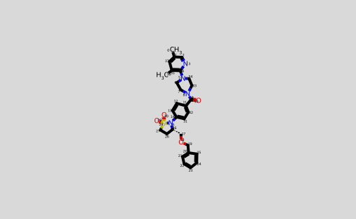 Cc1cnc(N2CCN(C(=O)c3ccc(N4[C@H](COCc5ccccc5)CCS4(=O)=O)cc3)CC2)c(C)c1